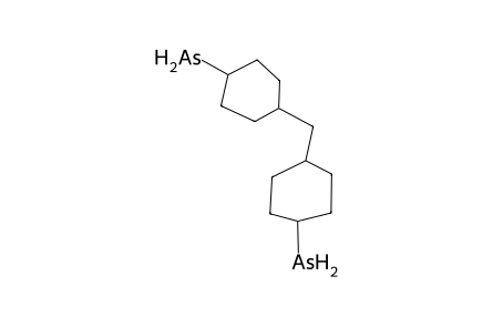 [AsH2]C1CCC(CC2CCC([AsH2])CC2)CC1